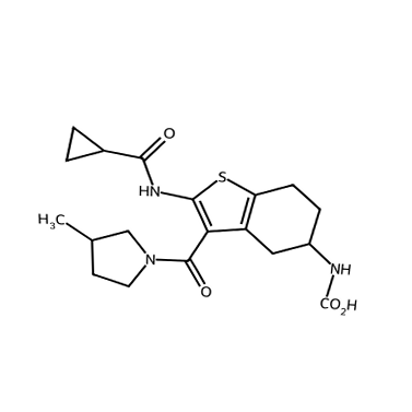 CC1CCN(C(=O)c2c(NC(=O)C3CC3)sc3c2CC(NC(=O)O)CC3)C1